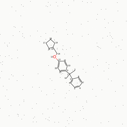 CC(C)(c1ccccc1)c1ccc(OCC2CCCC2)cc1